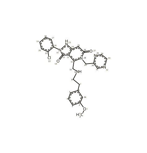 COc1cccc(CCNCc2c3c(=O)n(-c4ccccc4Cl)[nH]c3cc(=O)n2Cc2cnccn2)c1